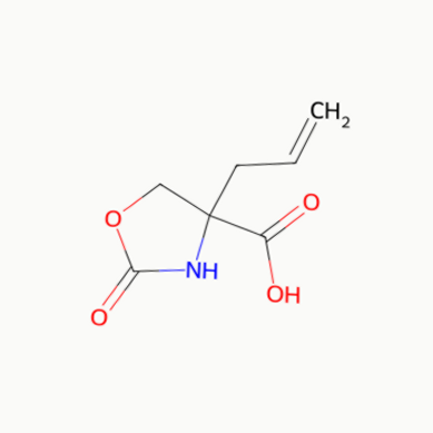 C=CCC1(C(=O)O)COC(=O)N1